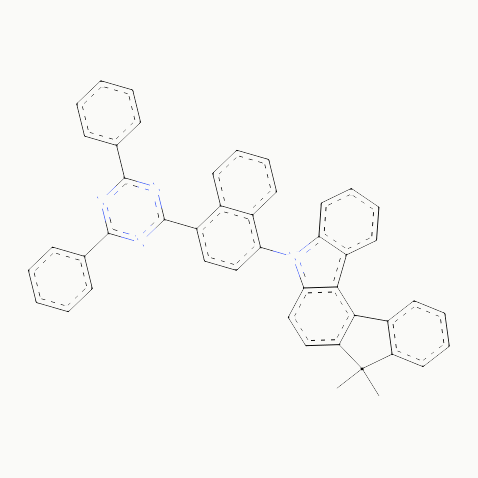 CC1(C)c2ccccc2-c2c1ccc1c2c2ccccc2n1-c1ccc(-c2nc(-c3ccccc3)nc(-c3ccccc3)n2)c2ccccc12